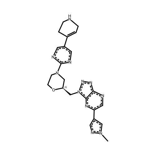 Cn1cc(-c2cnc3nnn(C[C@@H]4CN(c5ncc(C6=CCNCC6)cn5)CCO4)c3n2)cn1